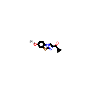 CC(C)Oc1ccc2c(c1)sc1nc(C(=O)C3CC3)cn12